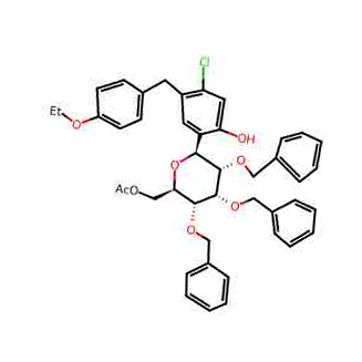 CCOc1ccc(Cc2cc([C@@H]3O[C@H](COC(C)=O)[C@@H](OCc4ccccc4)[C@@H](OCc4ccccc4)[C@H]3OCc3ccccc3)c(O)cc2Cl)cc1